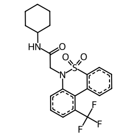 O=C(CN1c2cccc(C(F)(F)F)c2-c2ccccc2S1(=O)=O)NC1CCCCC1